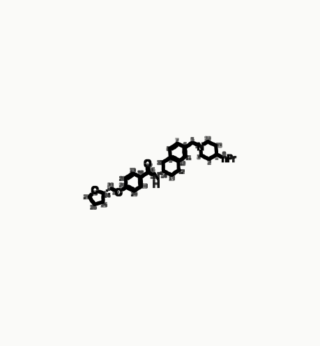 CCCC1CCN(Cc2ccc3c(c2)CC[C@H](NC(=O)c2ccc(OC[C@@H]4CCCO4)cc2)C3)CC1